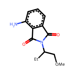 CCC(COC)N1C(=O)c2cccc(N)c2C1=O